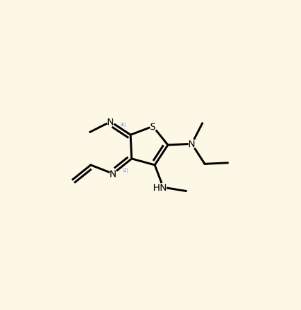 C=C/N=C1/C(NC)=C(N(C)CC)S/C1=N/C